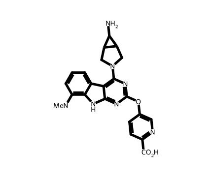 CNc1cccc2c1[nH]c1nc(Oc3ccc(C(=O)O)nc3)nc(N3CC4C(N)C4C3)c12